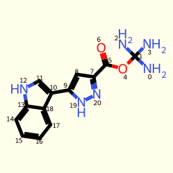 NC(N)(N)OC(=O)c1cc(-c2c[nH]c3ccccc23)[nH]n1